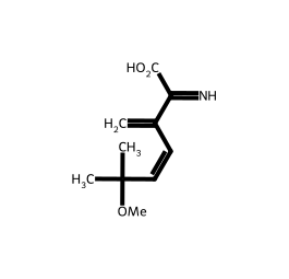 C=C(/C=C\C(C)(C)OC)C(=N)C(=O)O